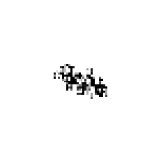 CCCC(=O)N1C[C@@H]2C(N(C)c3nc(-c4ccncc4F)cc(=O)n3C)[C@@H]2C1